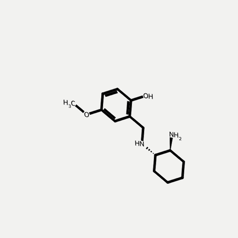 COc1ccc(O)c(CN[C@H]2CCCC[C@@H]2N)c1